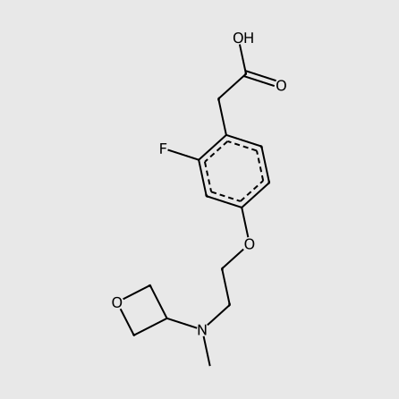 CN(CCOc1ccc(CC(=O)O)c(F)c1)C1COC1